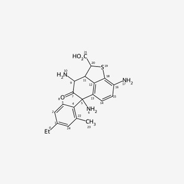 CCc1ccc(C2(N)C(=O)C(N)C3c4c2ccc(N)c4SC3C(=O)O)c(C)c1